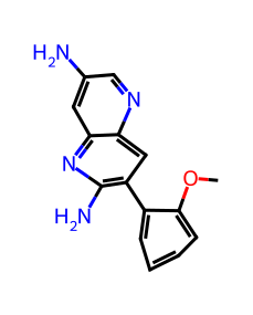 COc1ccccc1-c1cc2ncc(N)cc2nc1N